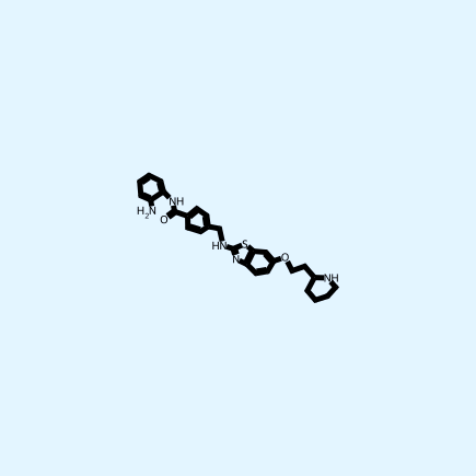 Nc1ccccc1NC(=O)c1ccc(CNc2nc3ccc(OCCC4CCCCN4)cc3s2)cc1